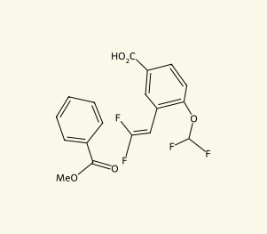 COC(=O)c1ccccc1.O=C(O)c1ccc(OC(F)F)c(C=C(F)F)c1